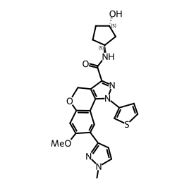 COc1cc2c(cc1-c1ccn(C)n1)-c1c(c(C(=O)N[C@H]3CC[C@H](O)C3)nn1-c1ccsc1)CO2